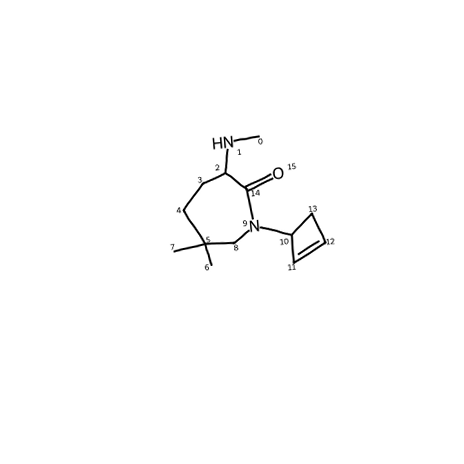 CNC1CCC(C)(C)CN(C2C=CC2)C1=O